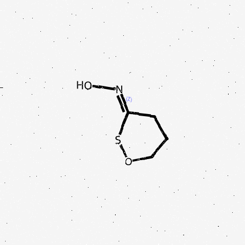 O/N=C1/CCCOS1